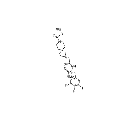 CNC(=O)[C@@H](Cc1cc(F)c(F)c(F)c1)NC(=O)C[C@@H]1CCC2(CCN(C(=O)OC(C)(C)C)CC2)C1